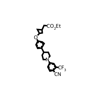 CCOC(=O)CC1CC(Oc2ccc(C3CCN(c4ccc(C#N)c(C(F)(F)F)c4)CC3)cc2)C1